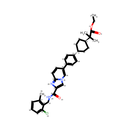 CCOC(=O)C(C)(C)[C@H]1CC[C@H](c2ccc(-c3ccc4nc(C(=O)NCc5c(C)cccc5Cl)cn4c3)cc2)CC1